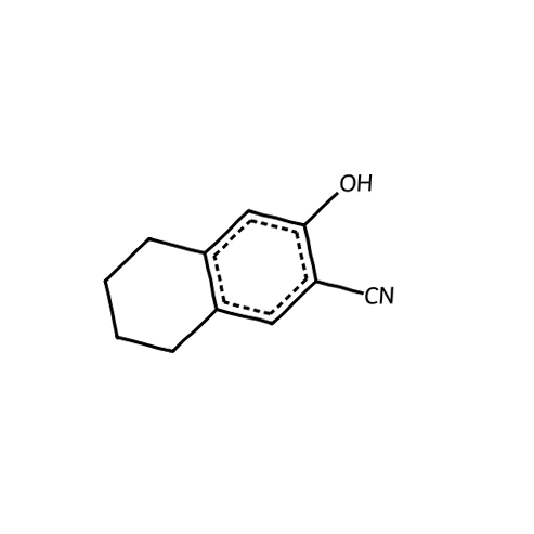 N#Cc1cc2c(cc1O)CCCC2